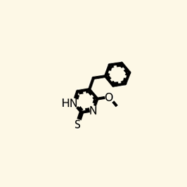 COc1nc(=S)[nH]cc1Cc1ccccc1